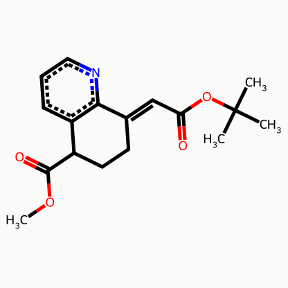 COC(=O)C1CCC(=CC(=O)OC(C)(C)C)c2ncccc21